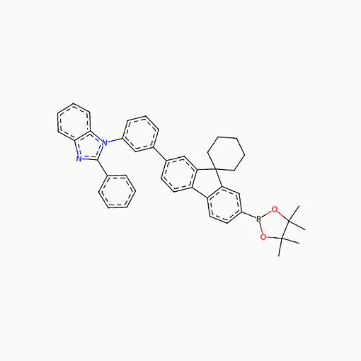 CC1(C)OB(c2ccc3c(c2)C2(CCCCC2)c2cc(-c4cccc(-n5c(-c6ccccc6)nc6ccccc65)c4)ccc2-3)OC1(C)C